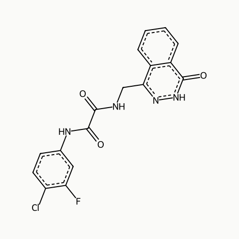 O=C(NCc1n[nH]c(=O)c2ccccc12)C(=O)Nc1ccc(Cl)c(F)c1